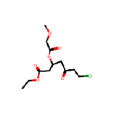 CCOC(=O)CC(CC(=O)CCCl)OC(=O)COC